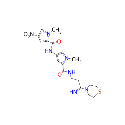 Cn1cc(NC(=O)c2cc([N+](=O)[O-])cn2C)cc1C(=O)NCCC(=N)N1CCSCC1